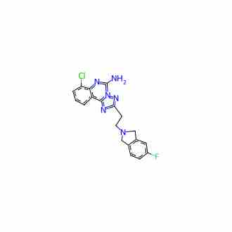 Nc1nc2c(Cl)cccc2c2nc(CCN3Cc4ccc(F)cc4C3)nn12